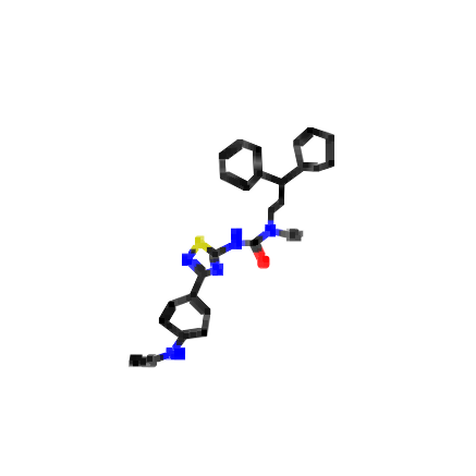 CSNc1ccc(-c2nsc(NC(=O)N(CCC(c3ccccc3)c3ccccc3)C(C)C)n2)cc1